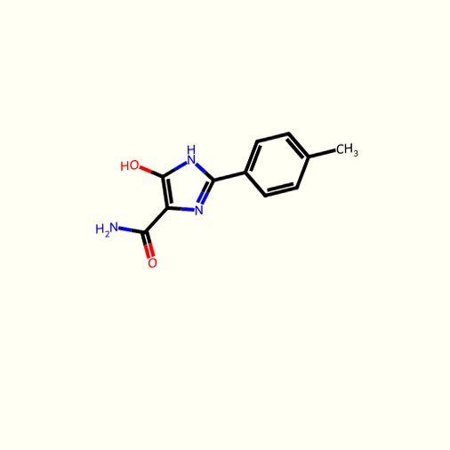 Cc1ccc(-c2nc(C(N)=O)c(O)[nH]2)cc1